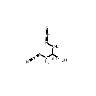 CCCCCCC([SiH2]N=[N+]=[N-])[SiH2]N=[N+]=[N-].[LiH]